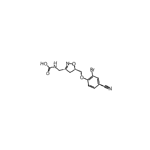 N#Cc1ccc(OCC2CC(CNC(=O)O)=NO2)c(Br)c1